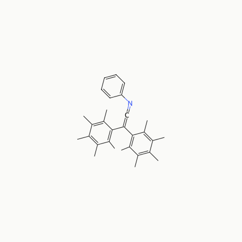 Cc1c(C)c(C)c(C(=C=Nc2ccccc2)c2c(C)c(C)c(C)c(C)c2C)c(C)c1C